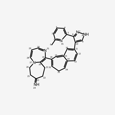 Cc1cccc(-c2n[nH]cc2-c2ccc3c(c2)=CC(C2=C4CCC(=N)CCN4C=CC=N2)=CCC=3)n1